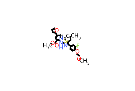 COCCOc1ccc(-c2nc(Nc3ncc(-c4ccco4)cc3C(=O)OC)sc2CC(C)C)cc1F